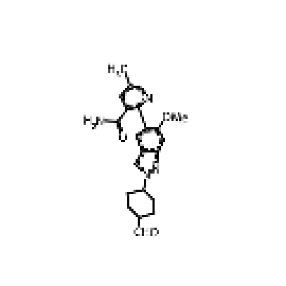 COc1cc2nn(C3CCC(C=O)CC3)cc2cc1-c1ncc(C)cc1C(N)=O